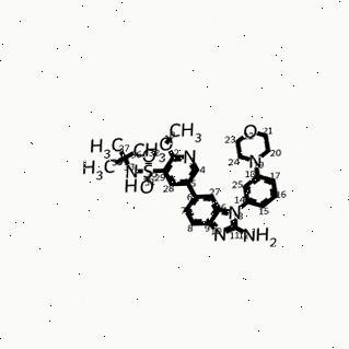 COc1ncc(-c2ccc3nc(N)n(-c4cccc(N5CCOCC5)c4)c3c2)cc1S(=O)(=O)NC(C)(C)C